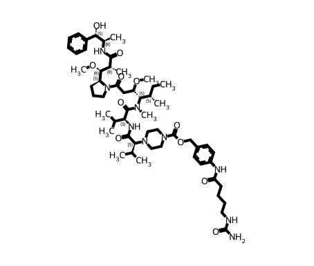 CC[C@H](C)[C@@H](C(CC(=O)N1CCC[C@H]1[C@H](OC)[C@@H](C)C(=O)N[C@H](C)[C@@H](O)c1ccccc1)OC)N(C)C(=O)[C@@H](NC(=O)[C@H](C(C)C)N1CCN(C(=O)OCc2ccc(NC(=O)CCCCNC(N)=O)cc2)CC1)C(C)C